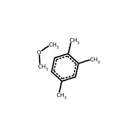 COC.Cc1ccc(C)c(C)c1